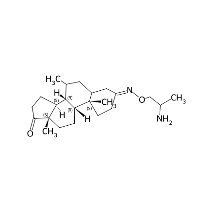 CC(N)CON=C1CC[C@@]2(C)C(C1)CC(C)[C@@H]1[C@H]2CC[C@]2(C)C(=O)CC[C@@H]12